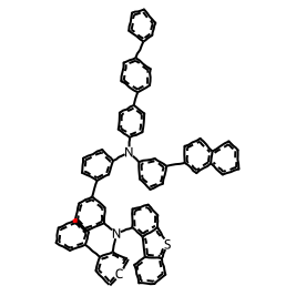 c1ccc(-c2ccc(-c3ccc(N(c4cccc(-c5cccc(N(c6ccccc6-c6ccccc6)c6cccc7sc8ccccc8c67)c5)c4)c4cccc(-c5ccc6ccccc6c5)c4)cc3)cc2)cc1